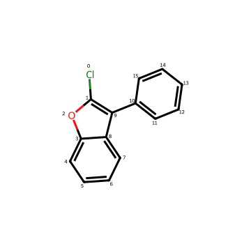 Clc1oc2ccccc2c1-c1ccccc1